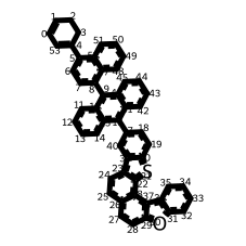 C1=CCCC(c2ccc(-c3c4ccccc4c(-c4ccc5sc6c(ccc7ccc8oc9ccccc9c8c76)c5c4)c4ccccc34)c3ccccc23)=C1